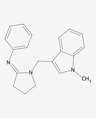 Cn1cc(CN2CCC/C2=N/c2ccccc2)c2ccccc21